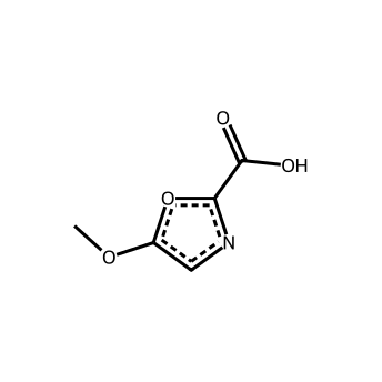 COc1cnc(C(=O)O)o1